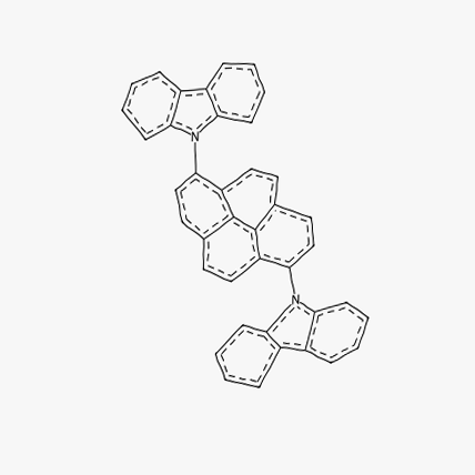 c1ccc2c(c1)c1ccccc1n2-c1ccc2ccc3c(-n4c5ccccc5c5ccccc54)ccc4ccc1c2c43